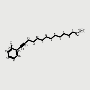 CCOCCCCCCCCCCCC#Cc1ccccc1F